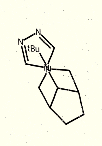 CC(C)(C)N1CC2CCC(C1)C2n1cnnc1